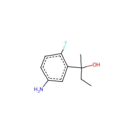 CCC(C)(O)c1cc(N)ccc1F